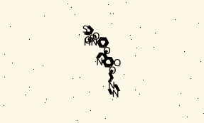 COc1cc2c(Oc3cccc(NS(=O)(=O)C4=CSCC4)c3)ccnc2cc1OCCCN1CCN(C)CC1